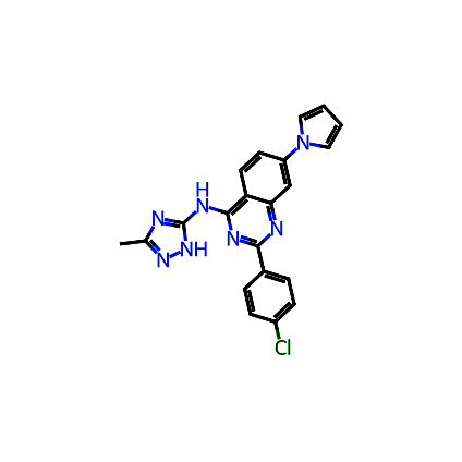 Cc1n[nH]c(Nc2nc(-c3ccc(Cl)cc3)nc3cc(-n4cccc4)ccc23)n1